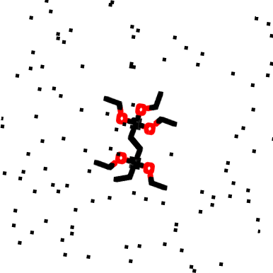 CCO[Si](CC)(CC[Si](OCC)(OCC)OCC)OCC